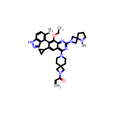 C=CC(=O)N1CC2(CCN(c3nc(N4CC5(CCCN5C(C)C)C4)nc4c(OCC(F)(F)F)c(-c5c(C)ccc6[nH]ncc56)c(C5CC5)cc34)CC2)C1